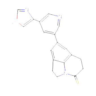 S=C1CCc2cc(-c3cncc(-c4cocn4)c3)cc3c2N1CC3